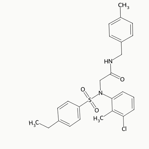 CCc1ccc(S(=O)(=O)N(CC(=O)NCc2ccc(C)cc2)c2cccc(Cl)c2C)cc1